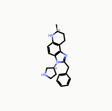 C[C@H]1CCc2c(ccc3c2nc(Cc2ccccc2)n3[C@H]2CCNC2)N1